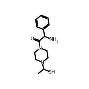 CC(S)N1CCN(C(=O)C(N)c2ccccc2)CC1